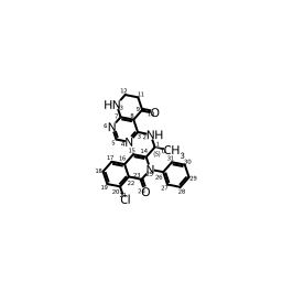 C[C@H](Nc1ncnc2c1C(=O)CCN2)c1cc2cccc(Cl)c2c(=O)n1-c1ccccc1